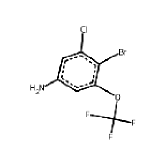 Nc1cc(Cl)c(Br)c(OC(F)(F)F)c1